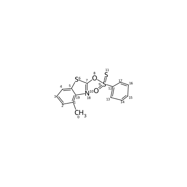 Cc1cccc2sc(OS(=O)(=S)c3ccccc3)nc12